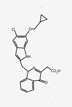 O=C(O)Cc1nn(Cc2cc3cc(Cl)c(OCC4CC4)cc3[nH]2)c2ccccc2c1=O